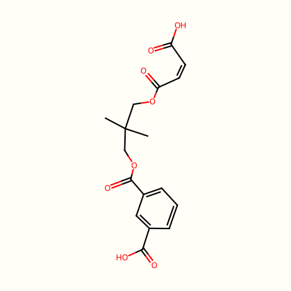 CC(C)(COC(=O)/C=C\C(=O)O)COC(=O)c1cccc(C(=O)O)c1